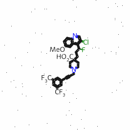 COc1ccc2ncc(Cl)c([C@@H](F)CCC3(C(=O)O)CCN(CC#Cc4cc(C(F)(F)F)cc(C(F)(F)F)c4)CC3)c2c1